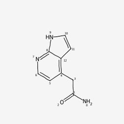 NC(=O)Cc1ccnc2[nH]ccc12